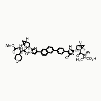 COC(=O)N[C@H](C(=O)N1[C@@H]2C[C@H]2C[C@H]1c1nc(-c2ccc3cc(-c4ccc(-c5[nH]c([C@@H]6C[C@H]7C[C@H]7N6C(=O)[C@H](C(C)C)N(C)C(=O)O)nc5Cl)cc4)ccc3c2)c[nH]1)C1CCOCC1